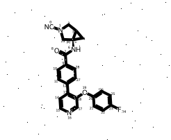 N#CN1CC2C[C@]2(NC(=O)c2ccc(-c3ccncc3Oc3ccc(F)cc3)cc2)C1